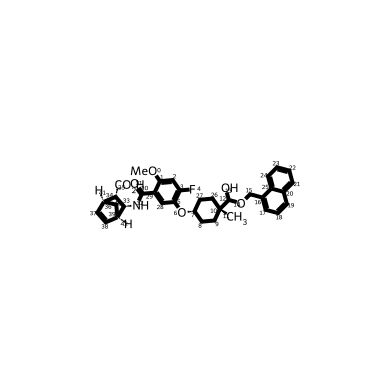 COc1cc(F)c(O[C@H]2CC[C@@](C)(C(O)OCc3cccc4ccccc34)CC2)cc1C(=O)N[C@H]1[C@@H](C(=O)O)[C@@H]2C=C[C@H]1C2